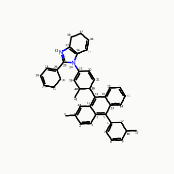 Cc1ccc2c(C3=CC=CC(C)C3)c3ccccc3c(C3C=CC(n4c(C5=CC=CCC5)nc5c4C=CCC5)=CC3C)c2c1